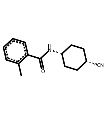 Cc1ccccc1C(=O)N[C@H]1CC[C@@H](C#N)CC1